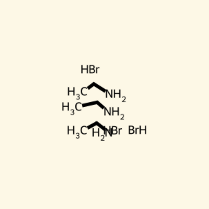 Br.Br.Br.CCN.CCN.CCN